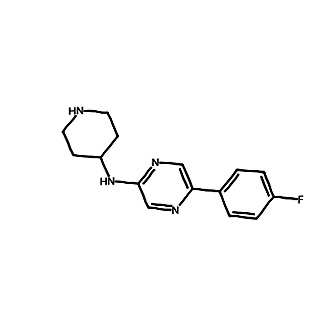 Fc1ccc(-c2cnc(NC3CCNCC3)cn2)cc1